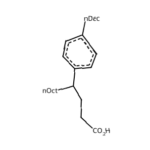 CCCCCCCCCCc1ccc(C(CCCCCCCC)CCC(=O)O)cc1